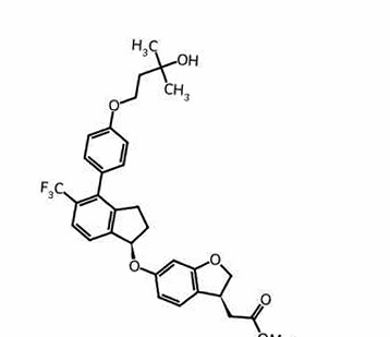 COC(=O)C[C@@H]1COc2cc(O[C@@H]3CCc4c3ccc(C(F)(F)F)c4-c3ccc(OCCC(C)(C)O)cc3)ccc21